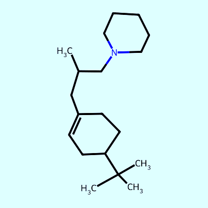 CC(CC1=CCC(C(C)(C)C)CC1)CN1CCCCC1